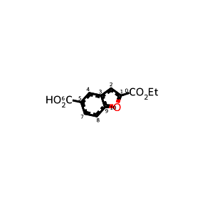 CCOC(=O)c1cc2cc(C(=O)O)ccc2o1